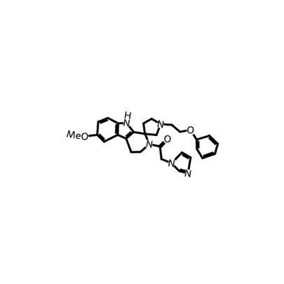 COc1ccc2[nH]c3c(c2c1)CCN(C(=O)Cn1ccnc1)C31CCN(CCOc2ccccc2)C1